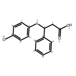 O=C(O)CC(Sc1ccc(Cl)cc1)c1ccccc1